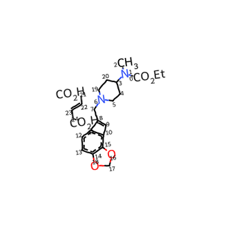 CCOC(=O)N(C)C1CCN(CC2=Cc3c2ccc2c3OCO2)CC1.O=C(O)C=CC(=O)O